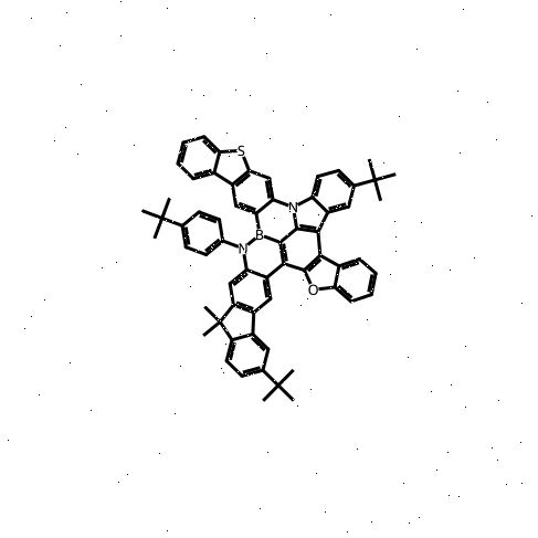 CC(C)(C)c1ccc(N2B3c4cc5c(cc4-n4c6ccc(C(C)(C)C)cc6c6c7c(oc8ccccc87)c(c3c64)-c3cc4c(cc32)C(C)(C)c2ccc(C(C)(C)C)cc2-4)sc2ccccc25)cc1